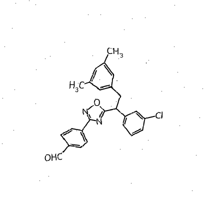 Cc1cc(C)cc(CC(c2cccc(Cl)c2)c2nc(-c3ccc(C=O)cc3)no2)c1